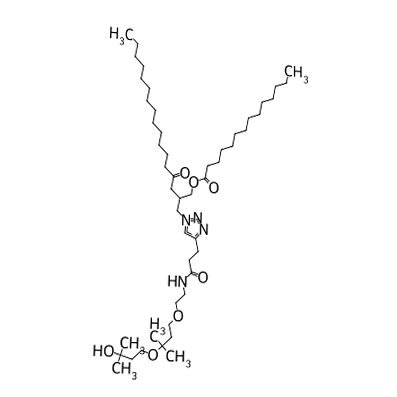 CCCCCCCCCCCCCC(=O)CC(COC(=O)CCCCCCCCCCCCC)Cn1cc(CCC(=O)NCCOCCC(C)(C)OCCC(C)(C)O)nn1